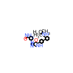 CC(C)(C)NCc1ccccc1-c1ccc(C2NCc3ncn(-c4cccc(C(N)=O)c4)c3C2=O)cc1